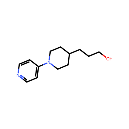 OCCCC1CCN(c2ccncc2)CC1